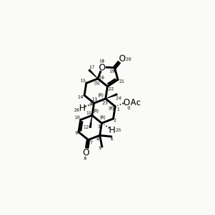 CC(=O)O[C@@H]1C[C@H]2C(C)(C)C(=O)C=C[C@]2(C)[C@H]2CC[C@]3(C)OC(=O)C=C3[C@@]21C